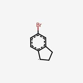 Brc1ccc2c(c1)CC[CH]2